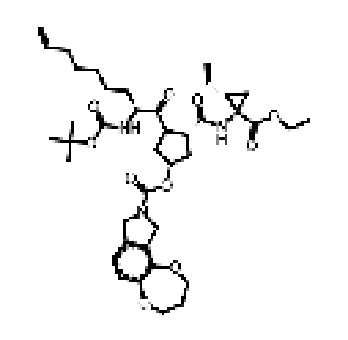 C=CCCCCC[C@H](NC(=O)OC(C)(C)C)C(=O)C1C[C@H](OC(=O)N2Cc3ccc4c(c3C2)OCCCO4)C[C@H]1C(=O)N[C@]1(C(=O)OCC)C[C@H]1C=C